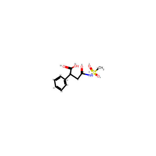 CS(=O)(=O)NC(=O)CC(C(=O)O)c1ccccc1